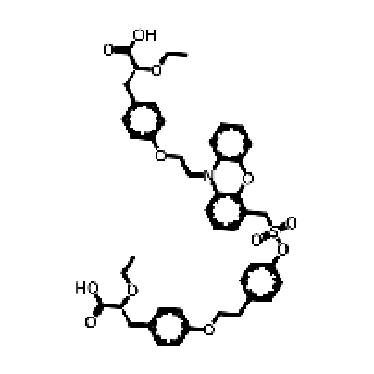 CCO[C@@H](Cc1ccc(OCCc2ccc(OS(=O)(=O)Cc3cccc4c3Oc3ccccc3N4CCOc3ccc(C[C@H](OCC)C(=O)O)cc3)cc2)cc1)C(=O)O